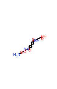 NCCOCCOCCNC(=O)c1ccc(-c2ccc(C(=O)NCCCCCC(=O)O)cc2)cc1